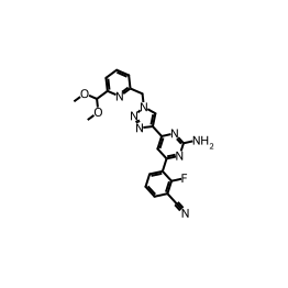 COC(OC)c1cccc(Cn2cc(-c3cc(-c4cccc(C#N)c4F)nc(N)n3)nn2)n1